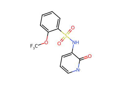 O=C1[N]C=CC=C1NS(=O)(=O)c1ccccc1OC(F)(F)F